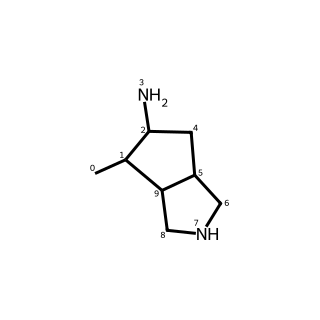 CC1C(N)CC2CNCC21